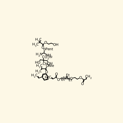 C=C(C)C(=O)OC.C=C(C)C(=O)OCCO.C=CC(=O)OCCCC.C=CC(=O)OCCO.C=Cc1ccccc1.CC(CO)(CO)C(=O)O.CCCCCC(N)N.CCN(CC)CC